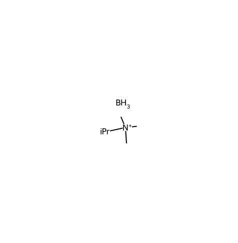 B.CC(C)[N+](C)(C)C